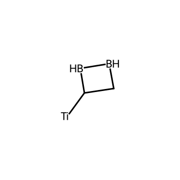 [Ti][CH]1BBC1